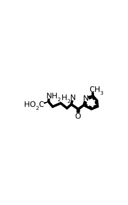 Cc1cccc(C(=O)C(N)CCC[C@H](N)C(=O)O)n1